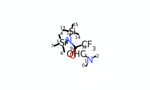 CN(C)C=O.C[Si](C)(C)N(C(=O)C(F)(F)F)[Si](C)(C)C